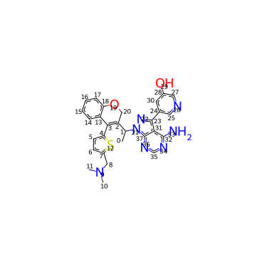 CC(C1=C(c2ccc(CN(C)C)s2)c2ccccc2OC1)n1nc(-c2cncc(O)c2)c2c(N)ncnc21